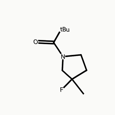 CC1(F)CCN(C(=O)C(C)(C)C)C1